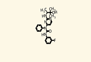 C[C@H](Nc1nccc(N(C(=O)Nc2cccc(F)c2)c2ccccc2)n1)C(C)(C)O